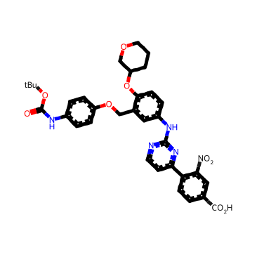 CC(C)(C)OC(=O)Nc1ccc(OCc2cc(Nc3nccc(-c4ccc(C(=O)O)cc4[N+](=O)[O-])n3)ccc2OC2CCCOC2)cc1